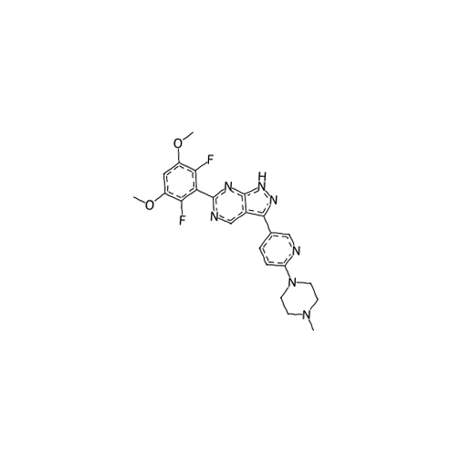 COc1cc(OC)c(F)c(-c2ncc3c(-c4ccc(N5CCN(C)CC5)nc4)n[nH]c3n2)c1F